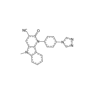 Cn1c2ccccc2c2c1cc(C#N)c(=O)n2-c1ccc(-n2cnnc2)cc1